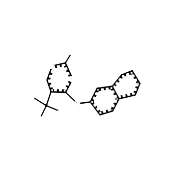 FC(F)(F)c1cnc(Cl)nc1Nc1ccc2ccccc2c1